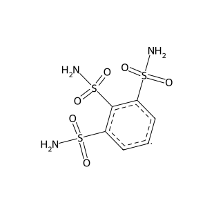 NS(=O)(=O)c1c[c]cc(S(N)(=O)=O)c1S(N)(=O)=O